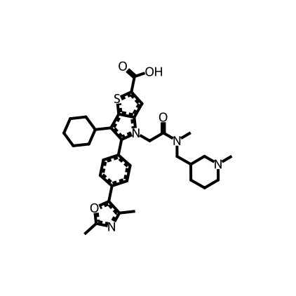 Cc1nc(C)c(-c2ccc(-c3c(C4CCCCC4)c4sc(C(=O)O)cc4n3CC(=O)N(C)CC3CCCN(C)C3)cc2)o1